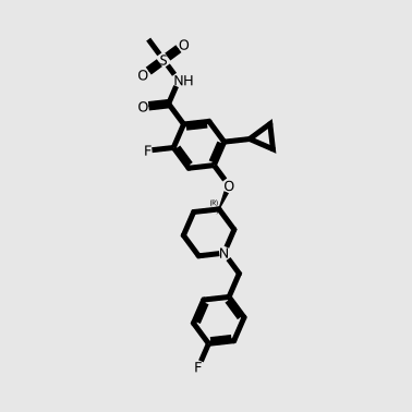 CS(=O)(=O)NC(=O)c1cc(C2CC2)c(O[C@@H]2CCCN(Cc3ccc(F)cc3)C2)cc1F